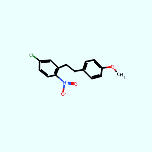 COc1ccc([CH]Cc2cc(Cl)ccc2[N+](=O)[O-])cc1